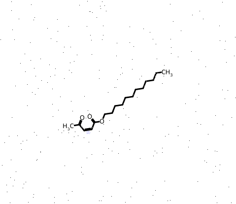 CCCCCCCCCCCCOC(=O)/C=C\C(C)=O